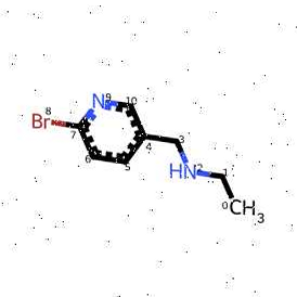 CCNCc1ccc(Br)nc1